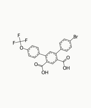 O=C(O)c1cc(C(=O)O)c(-c2ccc(OC(F)(F)F)cc2)cc1-c1ccc(Br)cc1